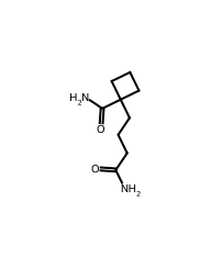 NC(=O)CCCC1(C(N)=O)CCC1